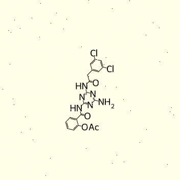 CC(=O)Oc1ccccc1C(=O)Nc1nc(N)nc(NC(=O)Cc2cc(Cl)cc(Cl)c2)n1